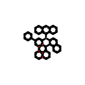 c1ccc(-c2cc(-c3ccccc3)cc(N(c3ccc4ccccc4c3-c3cccc4ccccc34)c3c4ccccc4cc4ccccc34)c2)cc1